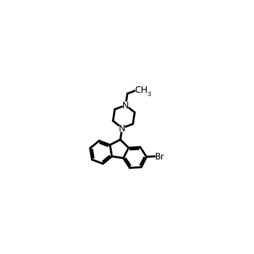 CCN1CCN(C2c3ccccc3-c3ccc(Br)cc32)CC1